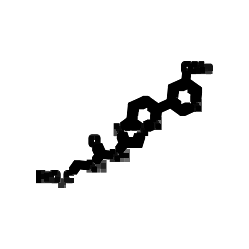 CCOC(=O)CNC(=O)Nc1cn2nc(-c3cncc(OC)c3)ccc2n1